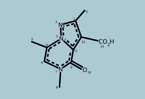 Cc1nn2c(C)cn(C)c(=O)c2c1C(=O)O